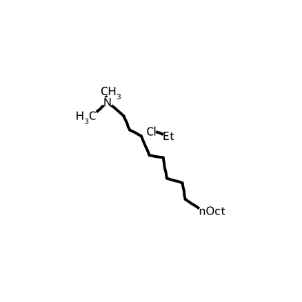 CCCCCCCCCCCCCCCCN(C)C.CCCl